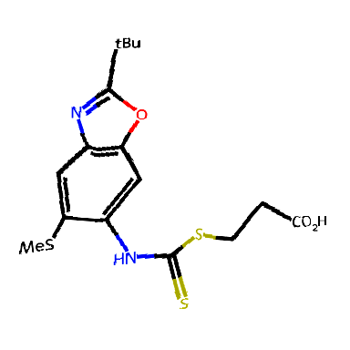 CSc1cc2nc(C(C)(C)C)oc2cc1NC(=S)SCCC(=O)O